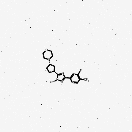 CC(C)n1nc(-c2ccc(C(F)(F)F)c(F)c2)nc1[C@H]1CC[C@H](N2CCOCC2)C1